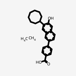 C.C.O=C(O)c1ccc(-c2ccc3cc(O)c([C]4CCCCCCC4)cc3c2)cc1